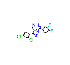 NCc1c(-c2ccc(Cl)cc2Cl)ncn1Cc1ccc(F)c(F)c1